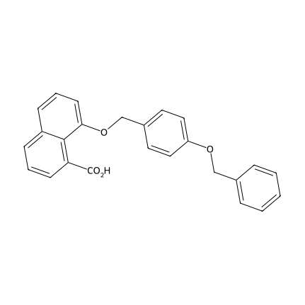 O=C(O)c1cccc2cccc(OCc3ccc(OCc4ccccc4)cc3)c12